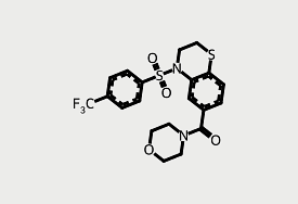 O=C(c1ccc2c(c1)N(S(=O)(=O)c1ccc(C(F)(F)F)cc1)CCS2)N1CCOCC1